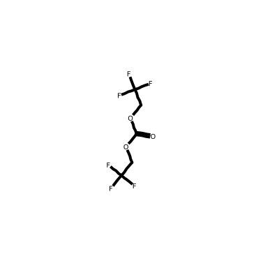 O=C(OCC(F)(F)F)OCC(F)(F)F